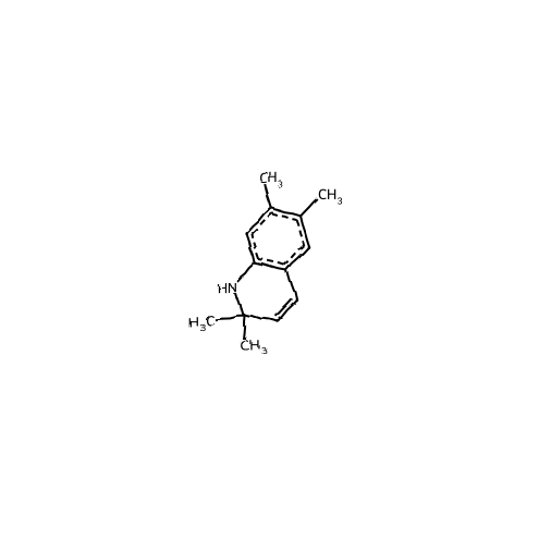 Cc1cc2c(cc1C)NC(C)(C)C=C2